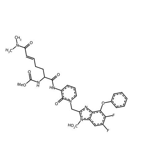 COC(=O)NC(CCC=CC(=O)N(C)C)C(=O)Nc1cccn(Cc2nc3c(Oc4ccccc4)c(F)c(F)cc3n2C(=O)O)c1=O